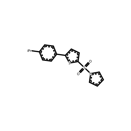 CC(C)c1ccc(-c2ccc(S(=O)(=O)n3cccc3)s2)cc1